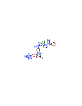 CC(COCc1nn[nH]n1)N[C@H]1CC[C@H](Nc2cc(-c3cccc(NCC4(C#N)CCOCC4)n3)c(Cl)cn2)CC1